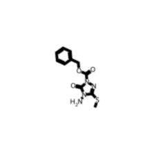 CSc1nn(C(=O)OCc2ccccc2)c(=O)n1N